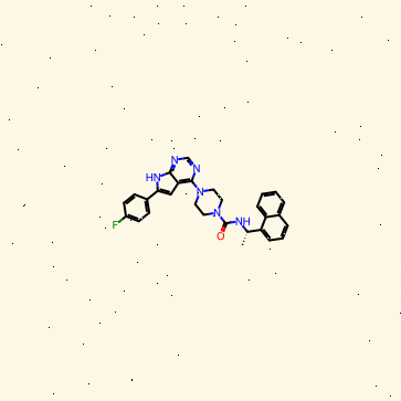 C[C@H](NC(=O)N1CCN(c2ncnc3[nH]c(-c4ccc(F)cc4)cc23)CC1)c1cccc2ccccc12